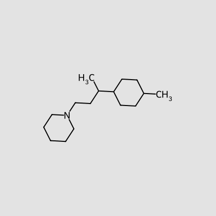 CC1CCC(C(C)CCN2CCCCC2)CC1